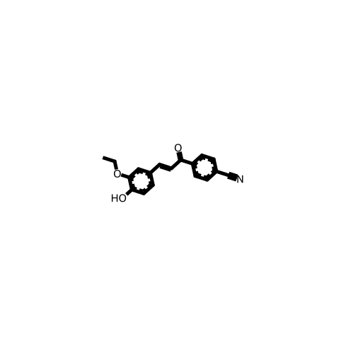 CCOc1cc(C=CC(=O)c2ccc(C#N)cc2)ccc1O